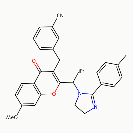 COc1ccc2c(=O)c(Cc3cccc(C#N)c3)c(C(C(C)C)N3CCN=C3c3ccc(C)cc3)oc2c1